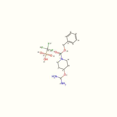 NC(N)OC1CCN(C(=O)OCc2ccccc2)CC1.O=S(=O)(O)C(F)(F)F